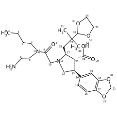 CCCCN(CCN)C(=O)CN1C[C@H](c2ccc3c(c2)OCO3)[C@@H](C(=O)O)[C@@H]1CC(C)(C)C1OCCO1